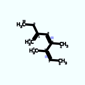 C=C(/C=C(C)\C(C)=C/C)CC